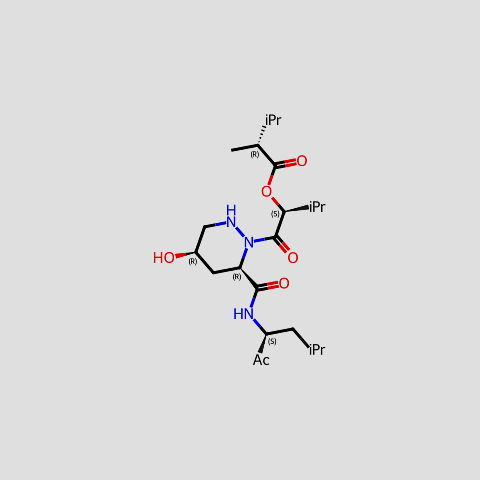 CC(=O)[C@H](CC(C)C)NC(=O)[C@H]1C[C@@H](O)CNN1C(=O)[C@@H](OC(=O)[C@H](C)C(C)C)C(C)C